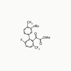 CCCCc1cc(-c2c(F)ccc(C(F)(F)F)c2C(=O)C(=O)OC)ccc1C